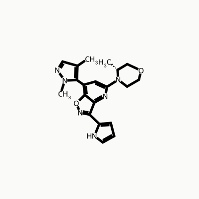 Cc1cnn(C)c1-c1cc(N2CCOC[C@H]2C)nc2c(-c3ccc[nH]3)noc12